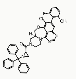 O=C([C@H]1CN1C(c1ccccc1)(c1ccccc1)c1ccccc1)N1CCN2c3ncnc4cc(-c5c(O)cccc5F)c(Cl)c(c34)OC[C@@H]2C1